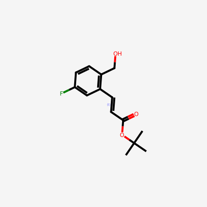 CC(C)(C)OC(=O)/C=C/c1cc(F)ccc1CO